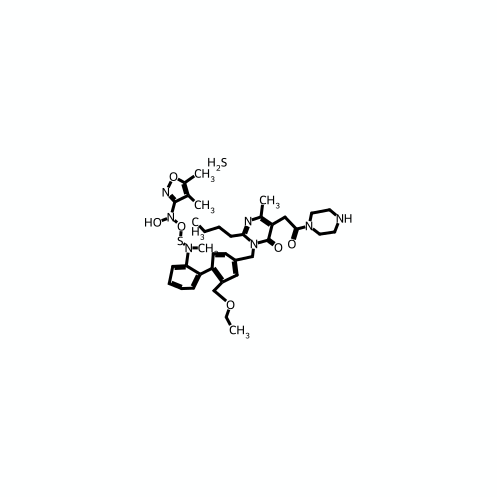 CCCCc1nc(C)c(CC(=O)N2CCNCC2)c(=O)n1Cc1ccc(-c2ccccc2N(C)SON(O)c2noc(C)c2C)c(COCC)c1.S